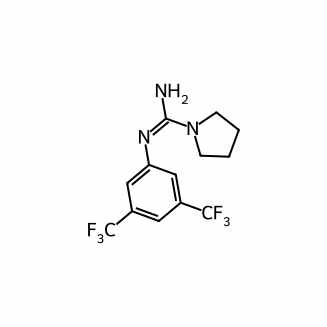 NC(=Nc1cc(C(F)(F)F)cc(C(F)(F)F)c1)N1CCCC1